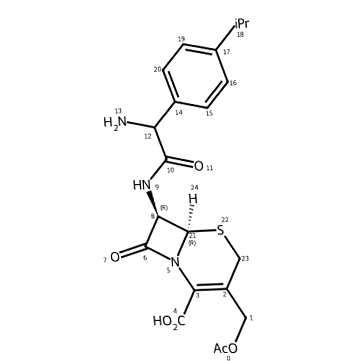 CC(=O)OCC1=C(C(=O)O)N2C(=O)[C@@H](NC(=O)C(N)c3ccc(C(C)C)cc3)[C@H]2SC1